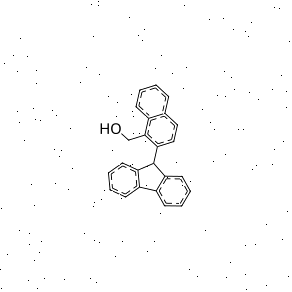 OCc1c(C2c3ccccc3-c3ccccc32)ccc2ccccc12